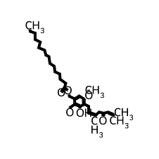 CCCCCCCCCCCCCCCC(=O)OCc1cc(OC)c(CC=C(C)CC(=O)C=C(C)C)c(O)c1C=O